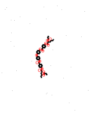 C=CC(=O)OC(CCCC)C(=O)Oc1ccc(C(=O)Oc2ccc(Oc3ccc(OC(=O)c4ccc(OC(=O)C(CCCC)OC(=O)C=C)cc4)cc3)cc2)cc1